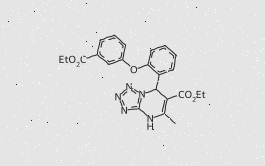 CCOC(=O)C1=C(C)Nc2nnnn2C1c1ccccc1Oc1cccc(C(=O)OCC)c1